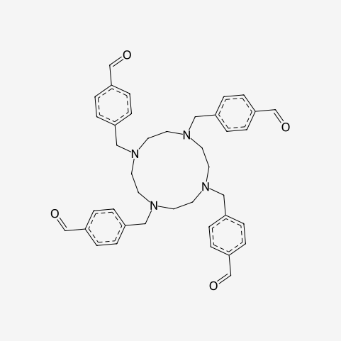 O=Cc1ccc(CN2CCN(Cc3ccc(C=O)cc3)CCN(Cc3ccc(C=O)cc3)CCN(Cc3ccc(C=O)cc3)CC2)cc1